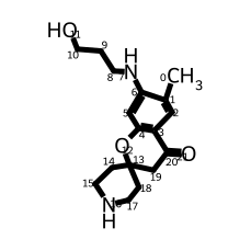 Cc1cc2c(cc1NCCCO)OC1(CCNCC1)CC2=O